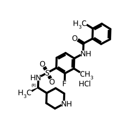 Cc1ccccc1C(=O)Nc1ccc(S(=O)(=O)N[C@H](C)C2CCNCC2)c(F)c1C.Cl